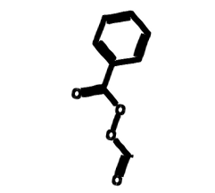 O=[C]OOC(=O)c1ccccc1